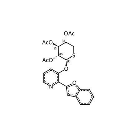 CC(=O)O[C@@H]1[C@@H](OC(C)=O)[C@H](OC(C)=O)CS[C@H]1Oc1cccnc1-c1cc2ccccc2o1